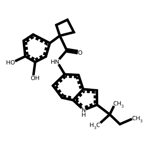 CCC(C)(C)c1cc2cc(NC(=O)C3(c4ccc(O)c(O)c4)CCC3)ccc2[nH]1